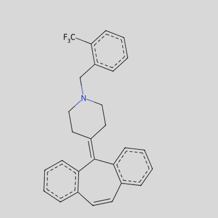 FC(F)(F)c1ccccc1CN1CCC(=C2c3ccccc3C=Cc3ccccc32)CC1